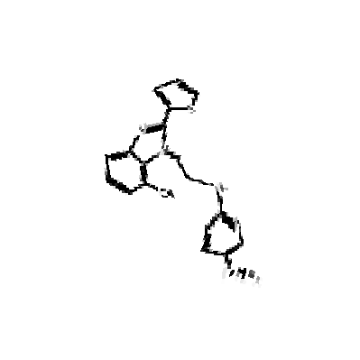 CC(=O)Nc1ccc(NCCn2c(-c3cccs3)nc3cccc(O)c32)nc1